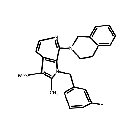 CSc1c(C)n(Cc2cccc(F)c2)c2c(N3CCc4ccccc4C3)nccc12